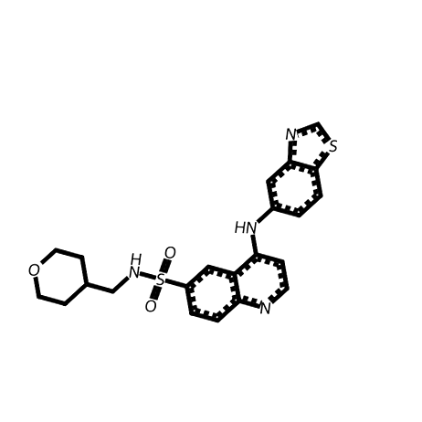 O=S(=O)(NCC1CCOCC1)c1ccc2nccc(Nc3ccc4scnc4c3)c2c1